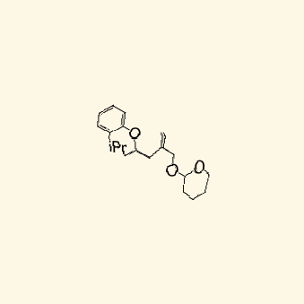 C=C(COC1CCCCO1)CC(C)Oc1ccccc1C(C)C